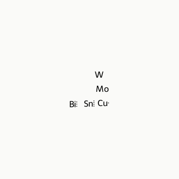 [Bi].[Cu].[Mo].[Sn].[W]